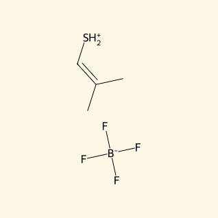 CC(C)=C[SH2+].F[B-](F)(F)F